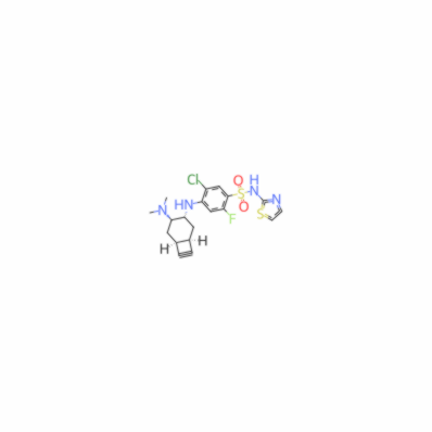 CN(C)[C@@H]1C[C@@H]2C#C[C@@H]2C[C@H]1Nc1cc(F)c(S(=O)(=O)Nc2nccs2)cc1Cl